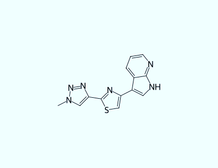 Cn1cc(-c2nc(-c3c[nH]c4ncccc34)cs2)nn1